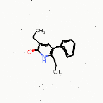 CCc1[nH]c(=O)c(CC)cc1-c1ccccc1